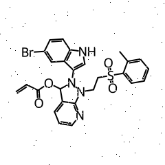 C=CC(=O)OC1c2cccnc2N(CCS(=O)(=O)c2ccccc2C)N1c1c[nH]c2ccc(Br)cc12